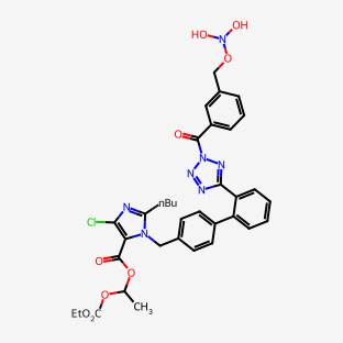 CCCCc1nc(Cl)c(C(=O)OC(C)OC(=O)OCC)n1Cc1ccc(-c2ccccc2-c2nnn(C(=O)c3cccc(CON(O)O)c3)n2)cc1